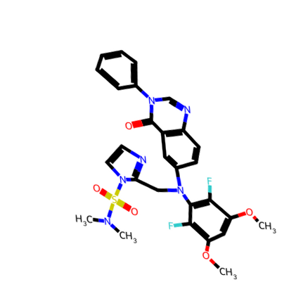 COc1cc(OC)c(F)c(N(Cc2nccn2S(=O)(=O)N(C)C)c2ccc3ncn(-c4ccccc4)c(=O)c3c2)c1F